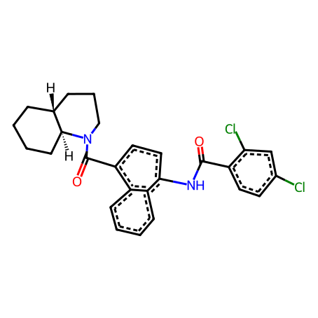 O=C(Nc1ccc(C(=O)N2CCC[C@H]3CCCC[C@@H]32)c2ccccc12)c1ccc(Cl)cc1Cl